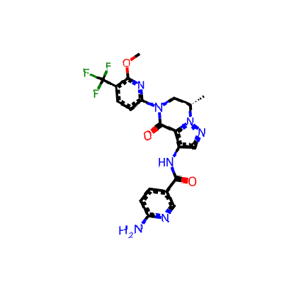 COc1nc(N2C[C@H](C)n3ncc(NC(=O)c4ccc(N)nc4)c3C2=O)ccc1C(F)(F)F